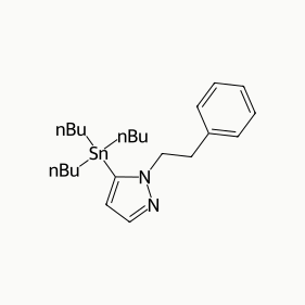 CCC[CH2][Sn]([CH2]CCC)([CH2]CCC)[c]1ccnn1CCc1ccccc1